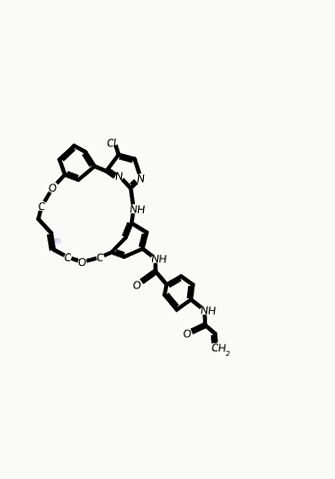 C=CC(=O)Nc1ccc(C(=O)Nc2cc3cc(c2)Nc2ncc(Cl)c(n2)-c2cccc(c2)OCC/C=C/COC3)cc1